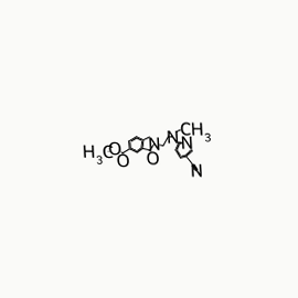 CCN(CCN1Cc2ccc(C(=O)OC)cc2C1=O)c1ccc(C#N)cn1